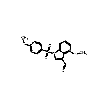 COc1ccc(S(=O)(=O)n2cc(C=O)c3c(OC)cccc32)cc1